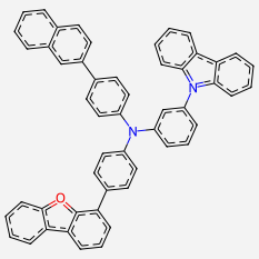 c1cc(N(c2ccc(-c3ccc4ccccc4c3)cc2)c2ccc(-c3cccc4c3oc3ccccc34)cc2)cc(-n2c3ccccc3c3ccccc32)c1